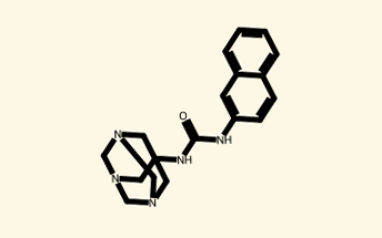 O=C(Nc1ccc2ccccc2c1)NC12CN3CN(CN(C3)C1)C2